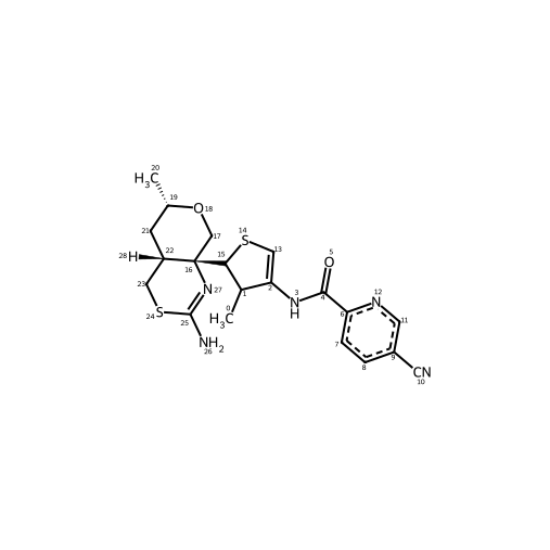 CC1C(NC(=O)c2ccc(C#N)cn2)=CSC1[C@]12CO[C@@H](C)C[C@H]1CSC(N)=N2